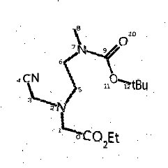 CCOC(=O)CN(CC#N)CCN(C)C(=O)OC(C)(C)C